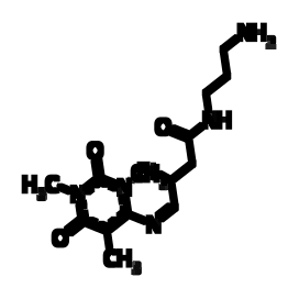 CCC(/C=N\c1c(C)c(=O)n(C)c(=O)n1C)CC(=O)NCCCN